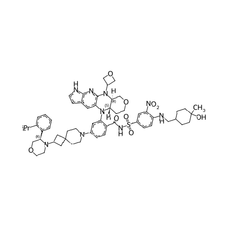 CC(C)c1ccccc1[C@@H]1COCCN1C1CC2(CCN(c3ccc(C(=O)NS(=O)(=O)c4ccc(NCC5CCC(C)(O)CC5)c([N+](=O)[O-])c4)c(N4c5cc6cc[nH]c6nc5N(C5COC5)[C@H]5COCC[C@@H]54)c3)CC2)C1